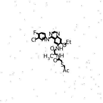 CCOc1cc2ncnc(Nc3ccc(F)c(Cl)c3)c2cc1NC(=O)[C@H](C)NC(=O)CSCC(C)=O